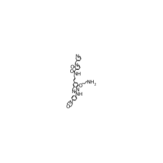 NCCCOc1cc(/C=C/CNC(=O)c2cccn(Cc3cccnc3)c2=O)cc2cnc(Nc3ccc(N4CCOCC4)cc3)nc12